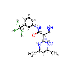 CC1=CC(C)=N/C(=C(/C=N)C(=O)Nc2cccc(C(F)(F)F)c2)N1